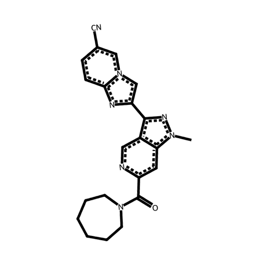 Cn1nc(-c2cn3cc(C#N)ccc3n2)c2cnc(C(=O)N3CCCCCC3)cc21